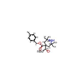 [CH2]c1ccc(COC(=O)C2(C([O])CCCC)CC(C)(C)NC(C)(C)C2)cc1